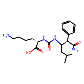 CC(C)CC(NC(=O)N[C@@H](CCCCN)C(=O)O)[C@H](C(N)=O)c1ccccc1